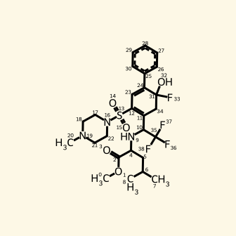 COC(=O)C(CC(C)C)NC(C1=C(S(=O)(=O)N2CCN(C)CC2)C=C(c2ccccc2)C(O)(F)C1)C(F)(F)F